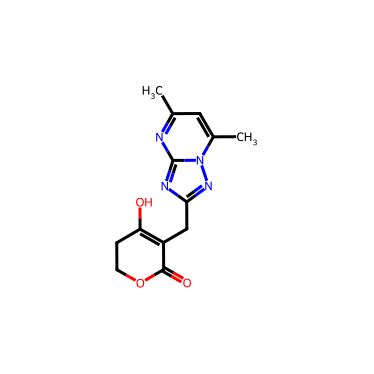 Cc1cc(C)n2nc(CC3=C(O)CCOC3=O)nc2n1